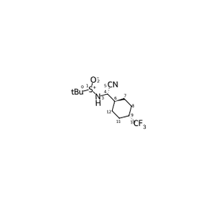 CC(C)(C)[S+]([O-])N[C@H](C#N)[C@H]1CC[C@H](C(F)(F)F)CC1